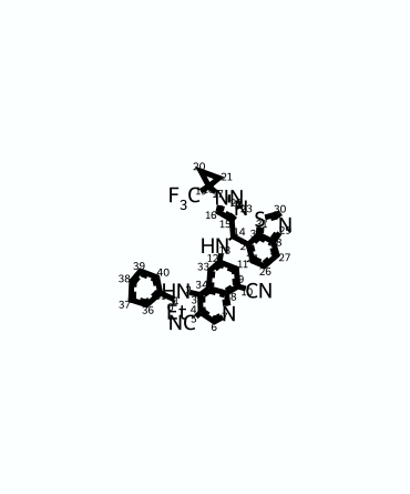 CC[C@@H](Nc1c(C#N)cnc2c(C#N)cc(N[C@H](c3cn(C4(C(F)(F)F)CC4)nn3)c3cccc4ncsc34)cc12)c1ccccc1